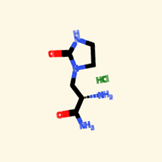 Cl.NC(=O)[C@@H](N)CN1CCNC1=O